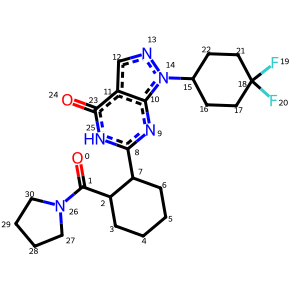 O=C(C1CCCCC1c1nc2c(cnn2C2CCC(F)(F)CC2)c(=O)[nH]1)N1CCCC1